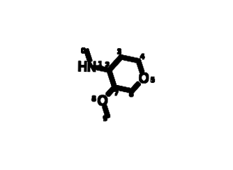 CNC1CCOCC1OC